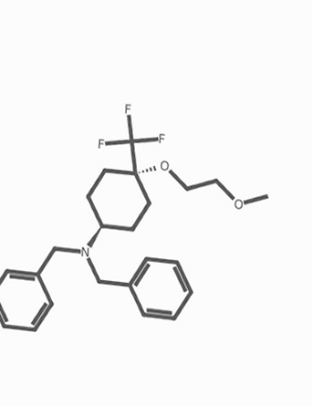 COCCO[C@]1(C(F)(F)F)CC[C@@H](N(Cc2ccccc2)Cc2ccccc2)CC1